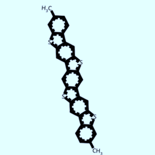 Cc1ccc2c(c1)sc1cc3c(cc12)sc1cc2c(cc13)sc1cc3c(cc12)sc1cc(C)ccc13